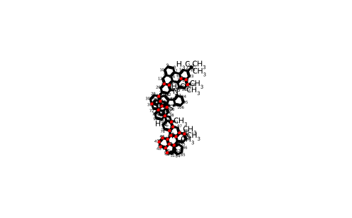 CC(C)(C)c1cc(-c2cccc3cccc(-c4ccccc4N(c4cccc(-c5cccc6c5ccc5c(CC(C)(C)c7cc(-c8cccc9cccc(-c%10ccccc%10N(c%10ccc(-c%11ccc%12ccccc%12c%11)cc%10)c%10cccc%11sc%12ccccc%12c%10%11)c89)cc(C(C)(C)C)c7)cccc56)c4)c4cccc5sc6ccccc6c45)c23)cc(C(C)(C)C)c1